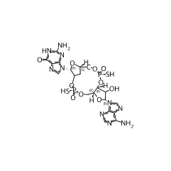 Nc1nc2c(ncn2[C@@H]2O[C@@H]3CO[P@@](=O)(S)O[C@@H]4C(O)[C@H](n5cnc6c(N)ncnc65)O[C@@H]4CO[P@@](=O)(S)OC2C3)c(=O)[nH]1